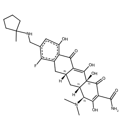 CN(C)[C@@H]1C(O)=C(C(N)=O)C(=O)[C@@]2(O)C(O)=C3C(=O)c4c(O)cc(CNC5(C)CCCC5)c(F)c4C[C@H]3C[C@@H]12